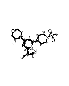 C[C@@H]1COCCN1c1cc(N2CCN(S(C)(=O)=O)CC2)n2ncc(I)c2n1